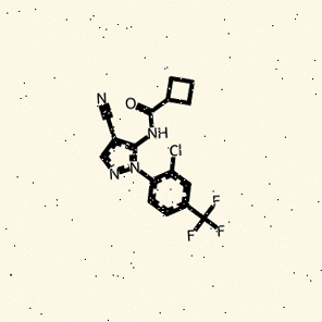 N#Cc1cnn(-c2ccc(C(F)(F)F)cc2Cl)c1NC(=O)C1CCC1